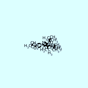 CC(C)c1c(B2OC(C)(C)C(C)(C)O2)n(C(=O)OC(C)(C)C)c2cnc(N3CCN(C(=O)OC(C)(C)C)CC3)c(Cl)c12